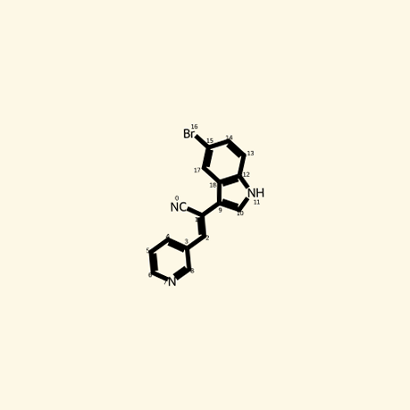 N#C/C(=C\c1cccnc1)c1c[nH]c2ccc(Br)cc12